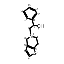 OC(CN1CCc2sccc2C1)c1ccccc1